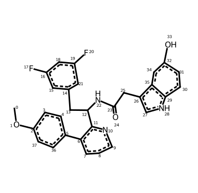 COc1ccc(-c2cccnc2C(Cc2cc(F)cc(F)c2)NC(=O)Cc2c[nH]c3ccc(O)cc23)cc1